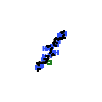 Cc1cn2nc(-c3ccc4cc(N5CC(C)NC([C@@H]6CN(c7cnc8nc(-c9cc(C)c%10nc(C)cn%10n9)cc(Cl)c8c7)C[C@H](C)N6)C5)cnc4n3)cc(C)c2n1